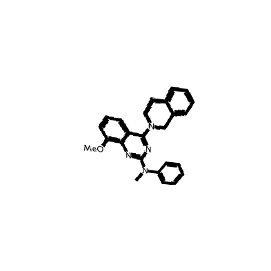 COc1cccc2c(N3CCc4ccccc4C3)nc(N(C)c3ccccc3)nc12